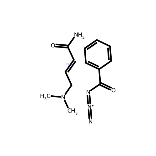 CN(C)C/C=C/C(N)=O.[N-]=[N+]=NC(=O)c1ccccc1